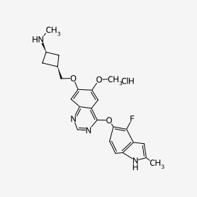 CN[C@H]1C[C@@H](COc2cc3ncnc(Oc4ccc5[nH]c(C)cc5c4F)c3cc2OC)C1.Cl